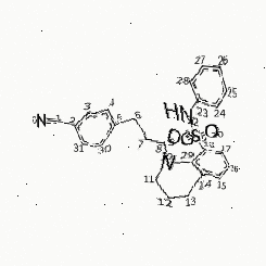 N#Cc1ccc(CCC(=O)N2CCCc3cccc(S(=O)(=O)Nc4ccccc4)c32)cc1